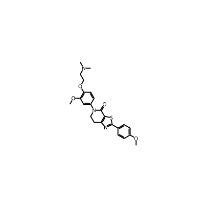 COc1ccc(-c2nc3c(s2)C(=O)N(c2ccc(OCCN(C)C)c(OC)c2)CC3)cc1